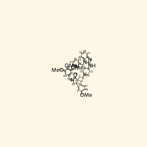 COc1ccc(CC2(CCN3CCC(Nc4nc5ccccc5n4Cc4ccccn4)CC3)CCN(Cc3cc(OC)c(OC)c(OC)c3)C2=O)cc1